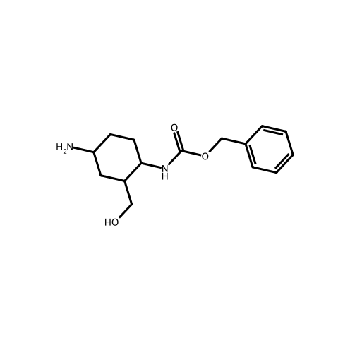 NC1CCC(NC(=O)OCc2ccccc2)C(CO)C1